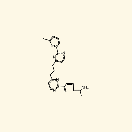 C=C(/C=C\C=C(\C)N)c1nccc(CCCc2ccnc(-c3cccc(C)n3)n2)n1